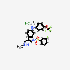 CNCc1cn(S(=O)(=O)c2cccc(F)c2)c2cc(Nc3ccc(OC(F)(F)F)cc3C)ccc12.Cl